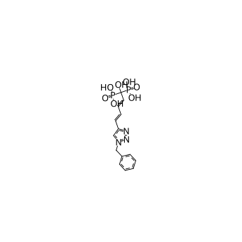 O=P(O)(O)C(O)(C=CC=Cc1cn(Cc2ccccc2)nn1)P(=O)(O)O